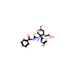 C[C@H]1C[C@@H](CCO)[C@](NC(=S)NC(=O)c2ccccc2)(c2nc(Br)cs2)CO1